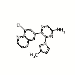 Cc1ccn(-c2nc(N)cnc2-c2cc(Cl)c3ncccc3c2)c1